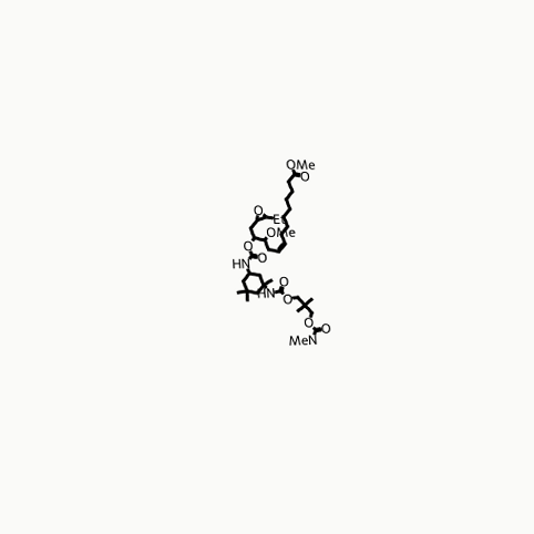 CCC1OC1CC(OC(=O)NC1CC(C)(C)CC(C)(NC(=O)OCC(C)(C)COC(=O)NC)C1)C(C/C=C\CCCCCCCC(=O)OC)OC